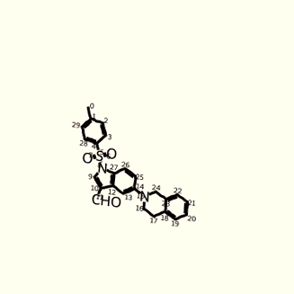 Cc1ccc(S(=O)(=O)n2cc(C=O)c3cc(N4CCc5ccccc5C4)ccc32)cc1